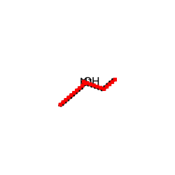 CCCCCCCC/C=C\CCCCCCCCC(O)C([P-]CCCCCCCCCCCCCCCCCC)[N+](C)(C)C